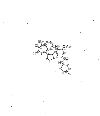 CCC1CN(C2CCCC2)c2nc(Nc3ccc(C(=O)NC4CCN(C)CC4)cc3OC)ncc2N(CC)C1=O